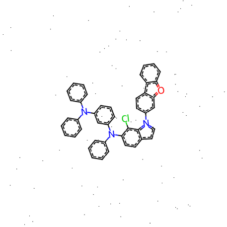 Clc1c(N(c2ccccc2)c2cccc(N(c3ccccc3)c3ccccc3)c2)ccc2ccn(-c3ccc4c(c3)oc3ccccc34)c12